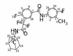 Cc1cc(NC(=O)c2ccc(F)c(C(F)(F)C(=O)NC34CC5CC(CC3C5)C4)c2)ccc1F